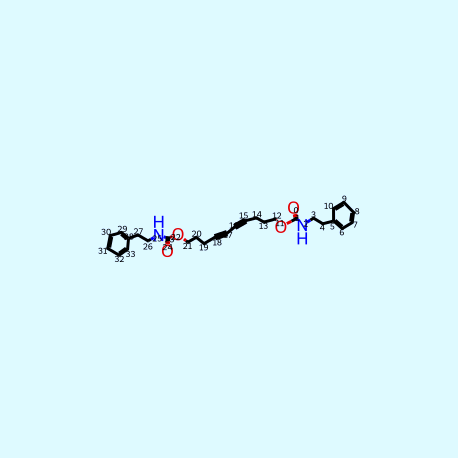 O=C(NCCc1ccccc1)OCCCC#CC#CCCCOC(=O)NCCc1ccccc1